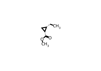 CC[C@H]1C[C@H]1C(=O)OC